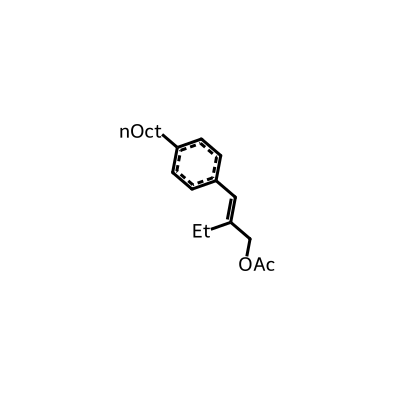 CCCCCCCCc1ccc(/C=C(\CC)COC(C)=O)cc1